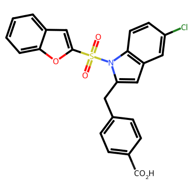 O=C(O)c1ccc(Cc2cc3cc(Cl)ccc3n2S(=O)(=O)c2cc3ccccc3o2)cc1